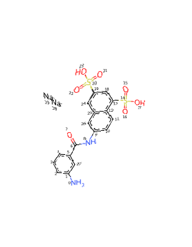 Nc1cccc(C(=O)Nc2ccc3c(S(=O)(=O)O)cc(S(=O)(=O)O)cc3c2)c1.[Na].[Na]